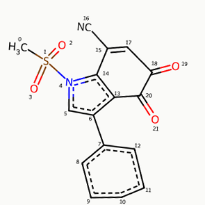 CS(=O)(=O)n1cc(-c2ccccc2)c2c1C(C#N)=CC(=O)C2=O